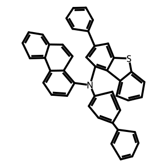 c1ccc(-c2ccc(N(c3cccc4c3ccc3ccccc34)c3cc(-c4ccccc4)cc4sc5ccccc5c34)cc2)cc1